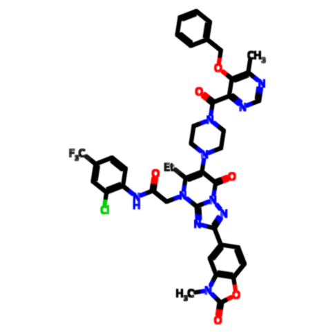 CCc1c(N2CCN(C(=O)c3ncnc(C)c3OCc3ccccc3)CC2)c(=O)n2nc(-c3ccc4oc(=O)n(C)c4c3)nc2n1CC(=O)Nc1ccc(C(F)(F)F)cc1Cl